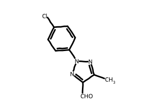 Cc1nn(-c2ccc(Cl)cc2)nc1C=O